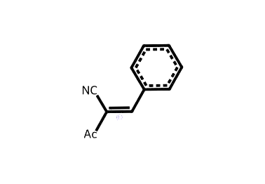 CC(=O)/C(C#N)=C/c1ccccc1